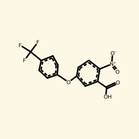 O=C(O)c1cc(Oc2ccc(C(F)(F)F)cc2)ccc1[N+](=O)[O-]